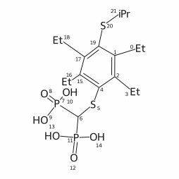 CCc1c(CC)c(SC(P(=O)(O)O)P(=O)(O)O)c(CC)c(CC)c1SC(C)C